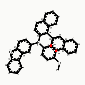 COc1ccc(N(c2ccc3oc4ccccc4c3c2)c2ccc3ccccc3c2-c2ccc3ccccc3c2)cc1